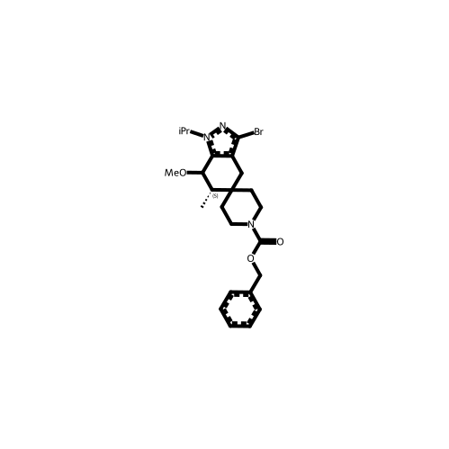 COC1c2c(c(Br)nn2C(C)C)CC2(CCN(C(=O)OCc3ccccc3)CC2)[C@@H]1C